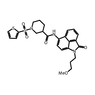 COCCCN1C(=O)c2cccc3c(NC(=O)C4CCCN(S(=O)(=O)c5cccs5)C4)ccc1c23